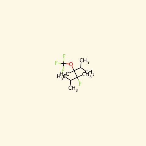 CC(C)C(C)(F)C(C)(OC(F)(F)F)C(C)C